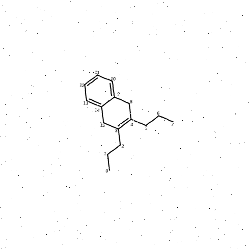 CCCC1=C(CCC)Cc2ccccc2[CH]1